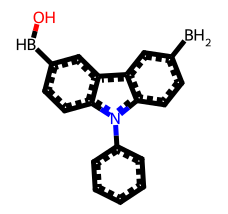 Bc1ccc2c(c1)c1cc(BO)ccc1n2-c1ccccc1